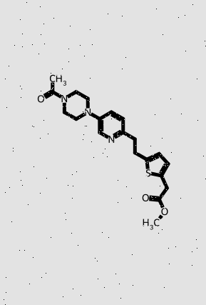 COC(=O)Cc1ccc(CCc2ccc(N3CCN(C(C)=O)CC3)cn2)s1